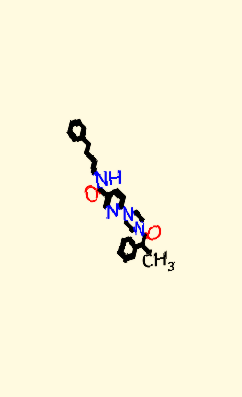 CCC(C(=O)N1CCN(c2ccc(C(=O)NCCCCc3ccccc3)cn2)CC1)c1ccccc1